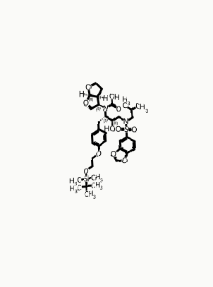 CC(C)CN(C[C@@H](O)[C@H](Cc1ccc(OCCO[Si](C)(C)C(C)(C)C)cc1)N(C(=O)O)[C@H]1CO[C@H]2OCC[C@H]21)S(=O)(=O)c1ccc2c(c1)OCO2